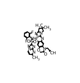 C#CCN1C(=O)COc2cc(F)c(/N=c3\snc4n3CC(C)(C)C4)cc21.Cc1ccn2nc(S(=O)(=O)Nc3c(F)cccc3F)nc2n1